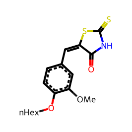 CCCCCCOc1ccc(C=C2SC(=S)NC2=O)cc1OC